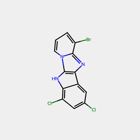 Clc1cc(Cl)c2[nH]c3c(nc4c(Br)cccn43)c2c1